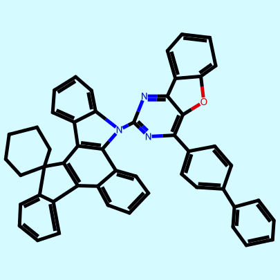 c1ccc(-c2ccc(-c3nc(-n4c5ccccc5c5c6c(c7ccccc7c54)-c4ccccc4C64CCCCC4)nc4c3oc3ccccc34)cc2)cc1